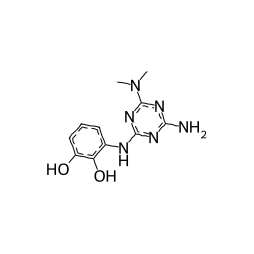 CN(C)c1nc(N)nc(Nc2cccc(O)c2O)n1